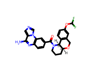 Nc1nc2ccc(C(=O)N3CCC[C@@H]4OCc5cc(OC(F)F)ccc5[C@@H]43)cc2n2cncc12